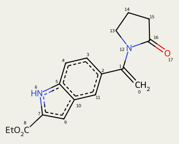 C=C(c1ccc2[nH]c(C(=O)OCC)cc2c1)N1CCCC1=O